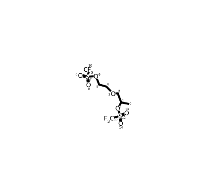 CC(COCCOS(=O)(=O)C(F)(F)F)OS(=O)(=O)C(F)(F)F